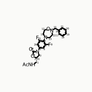 CC(=O)NC[C@H]1CN(c2cc(F)c(N3CCON(Cc4ccccc4)CC3)c(F)c2)C(=O)O1